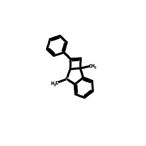 CN1c2ccccc2C2(C)C=C(c3ccccc3)C12